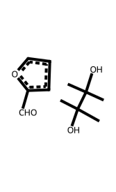 CC(C)(O)C(C)(C)O.O=Cc1ccco1